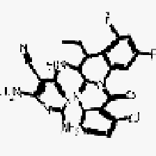 CCC1c2c(F)cc(F)cc2-n2c(nc3cccc(Cl)c3c2=O)C1Nc1nc(N)nc(N)c1C#N